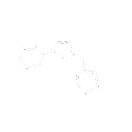 C1=CN(c2ccccc2)CN1Cc1ccccc1